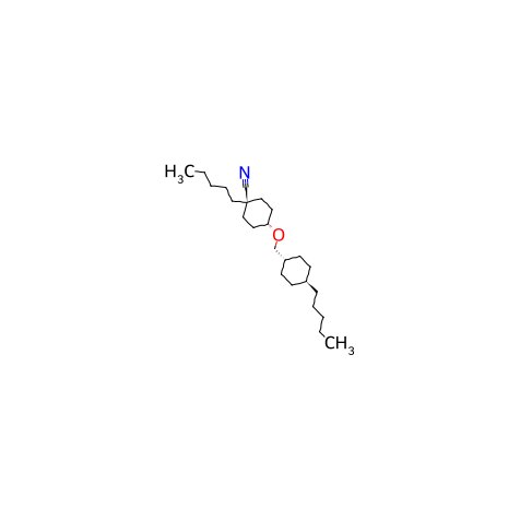 CCCCC[C@H]1CC[C@H](CO[C@H]2CC[C@@](C#N)(CCCCC)CC2)CC1